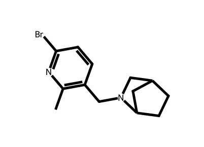 Cc1nc(Br)ccc1CN1CC2CCC1C2